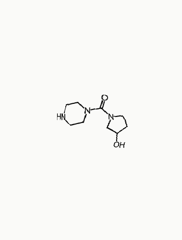 O=C(N1CCNCC1)N1CCC(O)C1